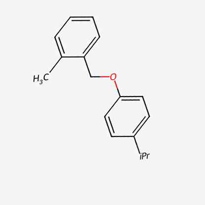 Cc1ccccc1COc1ccc(C(C)C)cc1